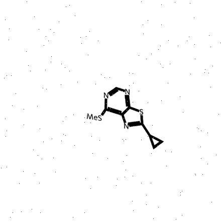 CSc1ncnc2sc(C3CC3)nc12